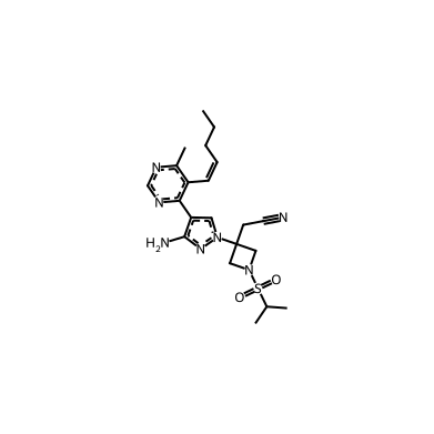 CCC/C=C\c1c(C)ncnc1-c1cn(C2(CC#N)CN(S(=O)(=O)C(C)C)C2)nc1N